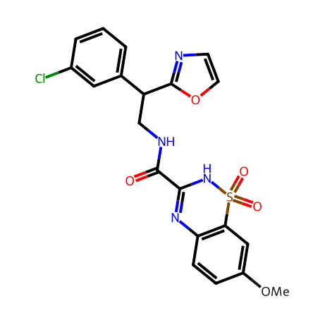 COc1ccc2c(c1)S(=O)(=O)NC(C(=O)NCC(c1cccc(Cl)c1)c1ncco1)=N2